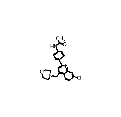 CC(=O)Nc1ccc(-c2cc(CN3CCOCC3)c3ccc(Cl)cc3n2)cc1